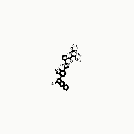 COC(=O)N[C@H](C(=O)N1CCC[C@H]1c1ncc(-c2ccc(-c3sc(Br)c4c3CC3(CCCC3)C4)c3cnoc23)[nH]1)C(C)C